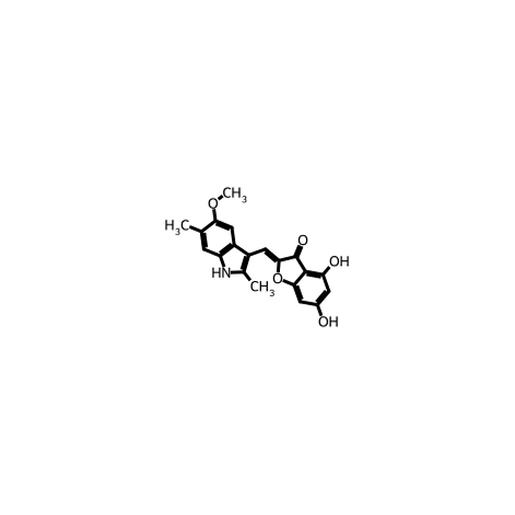 COc1cc2c(C=C3Oc4cc(O)cc(O)c4C3=O)c(C)[nH]c2cc1C